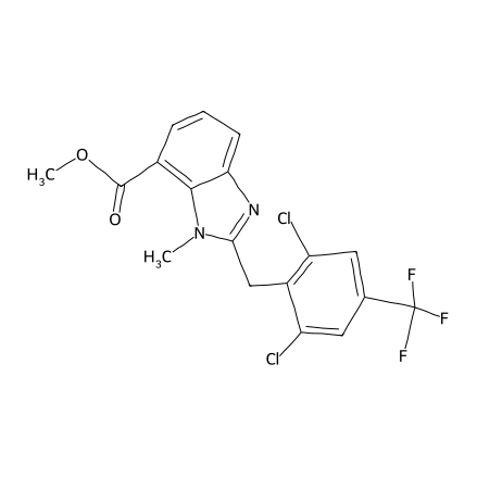 COC(=O)c1cccc2nc(Cc3c(Cl)cc(C(F)(F)F)cc3Cl)n(C)c12